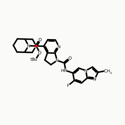 Cc1cn2cc(NC(=O)N3CCc4c(N5CC6CCCC(C5)N6C(=O)OC(C)(C)C)ccnc43)c(F)cc2n1